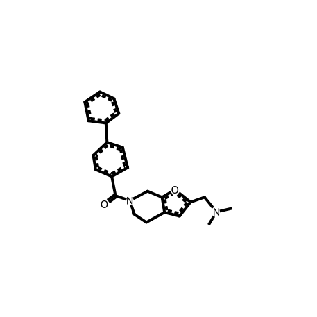 CN(C)Cc1cc2c(o1)CN(C(=O)c1ccc(-c3ccccc3)cc1)CC2